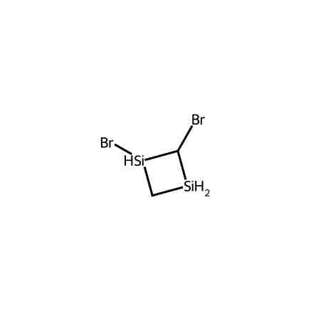 BrC1[SiH2]C[SiH]1Br